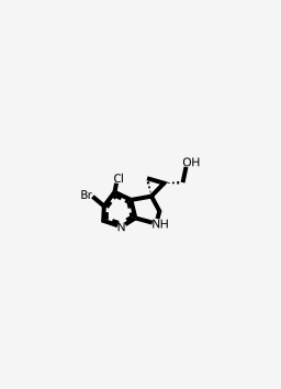 OC[C@H]1C[C@@]12CNc1ncc(Br)c(Cl)c12